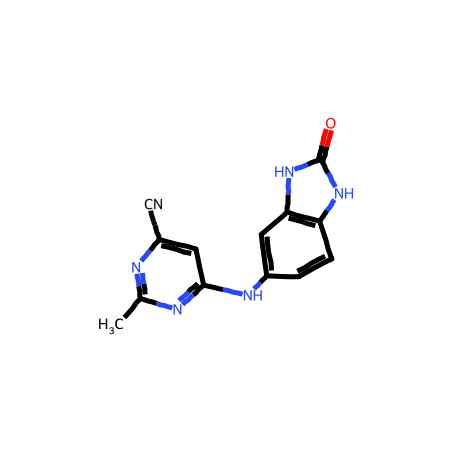 Cc1nc(C#N)cc(Nc2ccc3[nH]c(=O)[nH]c3c2)n1